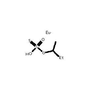 CCC(C)OS(=O)(O)=S.[Eu]